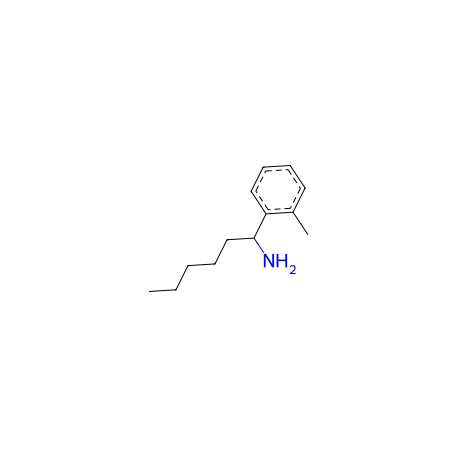 CCCCCC(N)c1ccccc1C